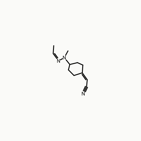 C/C=N\N(C)C1CCC(=CC#N)CC1